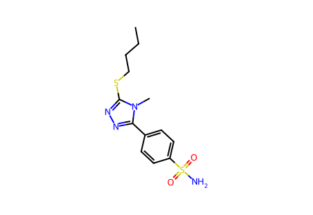 CCCCSc1nnc(-c2ccc(S(N)(=O)=O)cc2)n1C